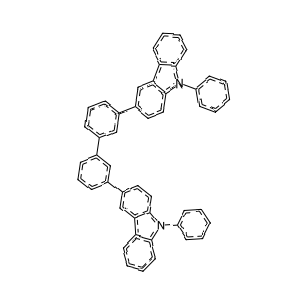 c1ccc(-n2c3ccccc3c3cc(-c4cccc(-c5cccc(-c6ccc7c(c6)c6ccccc6n7-c6ccccc6)c5)c4)ccc32)cc1